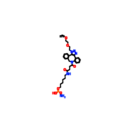 CCCOCCOCCn1nnc2c1-c1ccccc1CN(C(=O)CCC(=O)NCCCCCCOP(O)ON)c1ccccc1-2